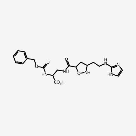 O=C(NC(CNC(=O)C1CC(CCNc2ncc[nH]2)NO1)C(=O)O)OCc1ccccc1